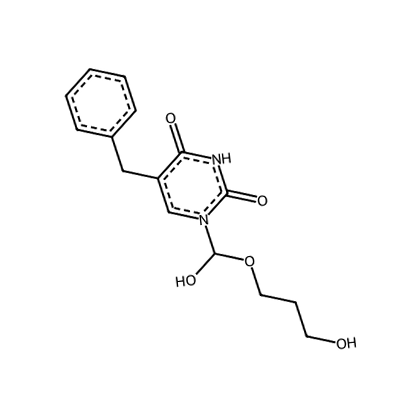 O=c1[nH]c(=O)n(C(O)OCCCO)cc1Cc1ccccc1